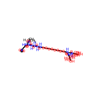 CC(C)(C)OC(=O)CC[C@H](NC(=O)CCCCCN1C(=O)C=CC1=O)C(=O)NCC(=O)NCC(=O)NCC(=O)NCC(=O)NCCOCCOCCOCCOCCOCCOCCOCCOCCC(=O)N[C@@H](CCC(=O)NC[C@H](O)[C@@H](O)[C@H](O)[C@H](O)CO)C(=O)NC[C@H](O)[C@@H](O)[C@H](O)[C@H](O)CO